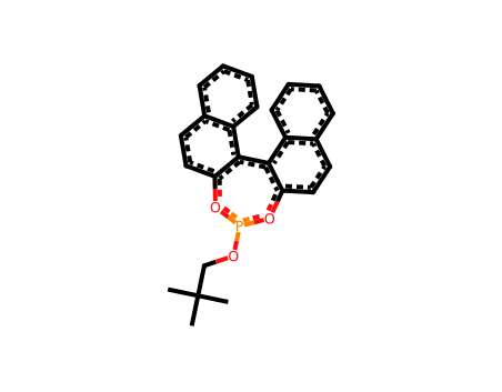 CC(C)(C)COp1oc2ccc3ccccc3c2c2c(ccc3ccccc32)o1